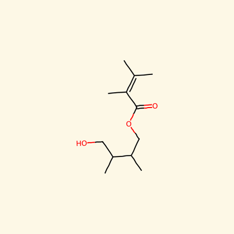 CC(C)=C(C)C(=O)OCC(C)C(C)CO